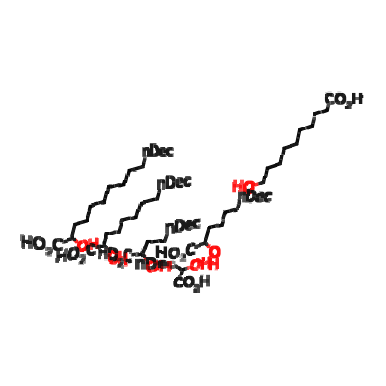 CCCCCCCCCCC(O)C(=O)O.CCCCCCCCCCCCC(O)C(=O)O.CCCCCCCCCCCCCCC(O)C(=O)O.CCCCCCCCCCCCCCCCC(O)C(=O)O.CCCCCCCCCCCCCCCCCCC(O)C(=O)O.O=C(O)CCCCCCCCCO